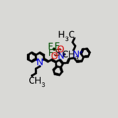 CCCCCN1/C(=C/C=C2C(N(C)S(=O)(=O)C(F)(F)F)=C(/C=C/c3ccc4ccccc4[n+]3CCCCC)c3ccccc3/2)C=Cc2ccccc21